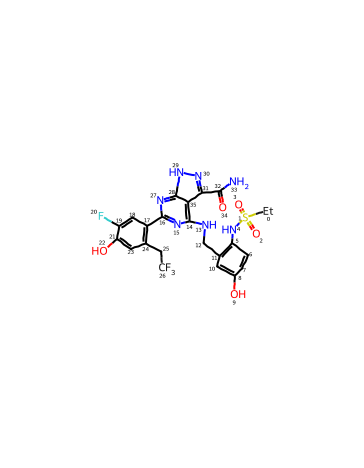 CCS(=O)(=O)Nc1ccc(O)cc1CNc1nc(-c2cc(F)c(O)cc2CC(F)(F)F)nc2[nH]nc(C(N)=O)c12